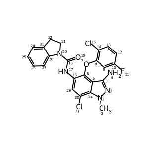 Cn1nc(N)c2c(Oc3cc(F)ccc3Cl)c(NC(=O)N3CCc4ccccc43)cc(Cl)c21